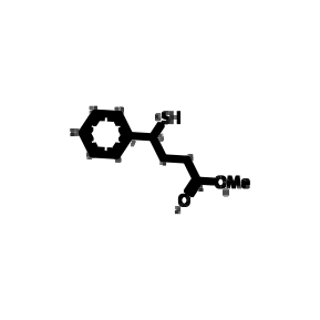 COC(=O)CCC(S)c1ccccc1